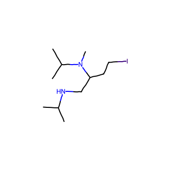 CC(C)NCC(CCI)N(C)C(C)C